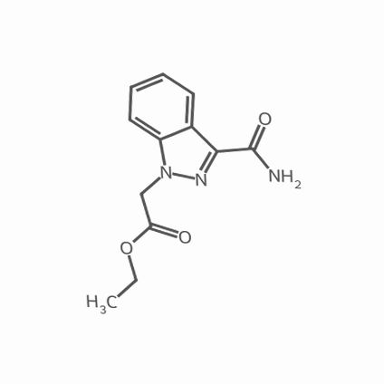 CCOC(=O)Cn1nc(C(N)=O)c2ccccc21